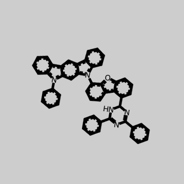 c1ccc(C2=NC(c3cccc4oc5c(-n6c7ccccc7c7cc8c9ccccc9n(-c9ccccc9)c8cc76)cccc5c34)NC(c3ccccc3)=N2)cc1